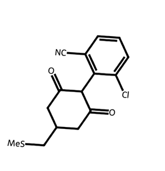 CSCC1CC(=O)C(c2c(Cl)cccc2C#N)C(=O)C1